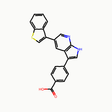 O=C(O)c1ccc(-c2c[nH]c3ncc(-c4csc5ccccc45)cc23)cc1